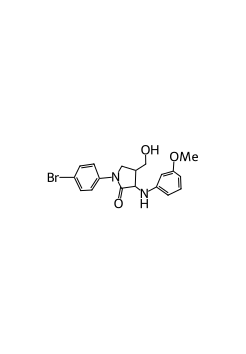 COc1cccc(NC2C(=O)N(c3ccc(Br)cc3)CC2CO)c1